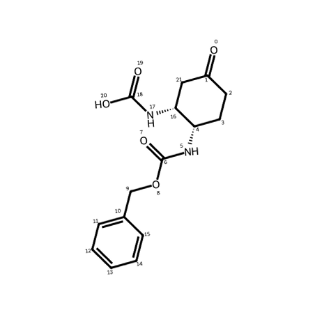 O=C1CC[C@H](NC(=O)OCc2ccccc2)[C@H](NC(=O)O)C1